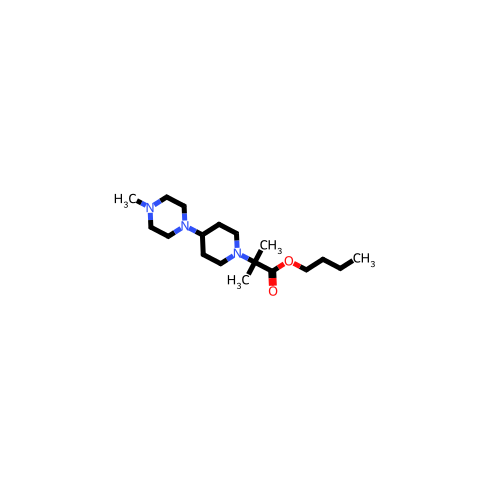 CCCCOC(=O)C(C)(C)N1CCC(N2CCN(C)CC2)CC1